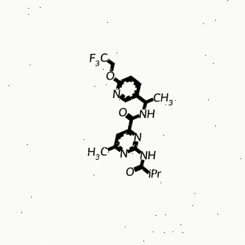 Cc1cc(C(=O)NC(C)c2ccc(OCC(F)(F)F)nc2)nc(NC(=O)C(C)C)n1